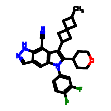 CC1CC2(C1)CC(c1c(C3CCOCC3)n(-c3ccc(F)c(F)c3)c3cc4cn[nH]c4c(C#N)c13)C2